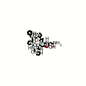 CC[C@H](C)[C@H](NC(=O)[C@@H]1CCCN1C(=O)CNC(=O)[C@@H]1CCCN1C(=O)[C@H](Cc1ccccc1)NC(=O)[C@@H]1CCCN1)C(=O)N1CCC[C@H]1C(=O)N[C@@H](CC(N)=O)C(=O)O